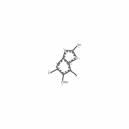 COc1c(Cl)cc2nc(S)oc2c1C